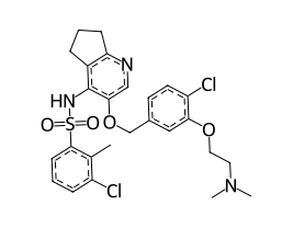 Cc1c(Cl)cccc1S(=O)(=O)Nc1c(OCc2ccc(Cl)c(OCCN(C)C)c2)cnc2c1CCC2